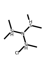 C[SiH](C)N([SiH](C)Cl)[SH](C)C